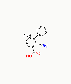 N#Cc1c(C(=O)O)cccc1-c1ccccc1.[NaH]